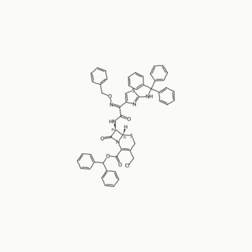 O=C(N[C@@H]1C(=O)N2C(C(=O)OC(c3ccccc3)c3ccccc3)=C(CCl)CS[C@@H]12)C(=NOCc1ccccc1)c1csc(NC(c2ccccc2)(c2ccccc2)c2ccccc2)n1